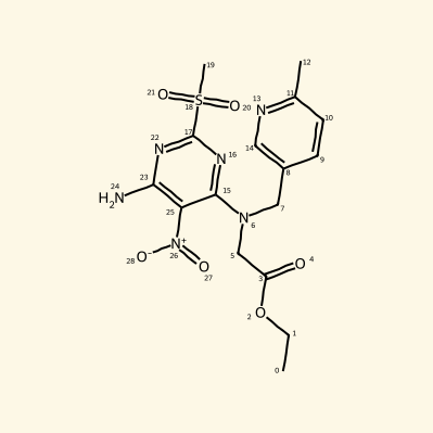 CCOC(=O)CN(Cc1ccc(C)nc1)c1nc(S(C)(=O)=O)nc(N)c1[N+](=O)[O-]